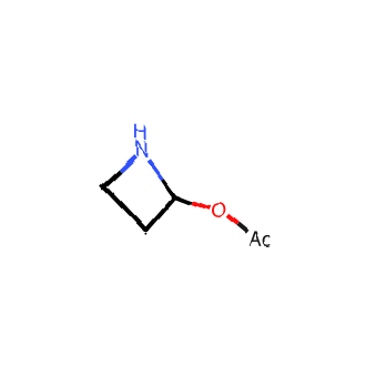 CC(=O)OC1[CH]CN1